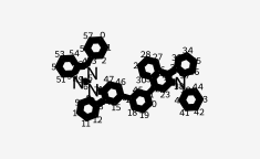 c1ccc(-c2nc(-n3c4ccccc4c4cc(-c5cccc(-c6cc7c(c8ccccc68)c6ccccc6n7-c6ccccc6)c5)ccc43)nc3ccccc23)cc1